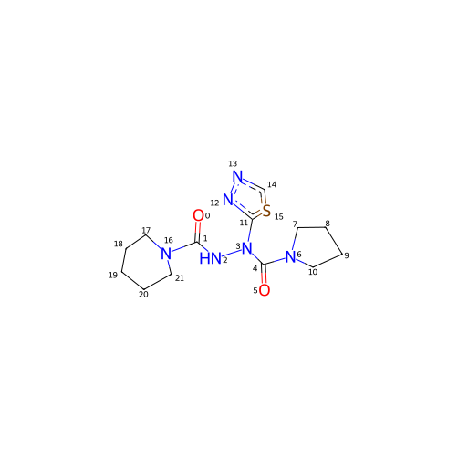 O=C(NN(C(=O)N1CCCC1)c1nncs1)N1CCCCC1